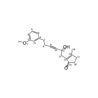 COc1cccc(CCC#CC(O)CC2=C(C)CCC2=O)c1